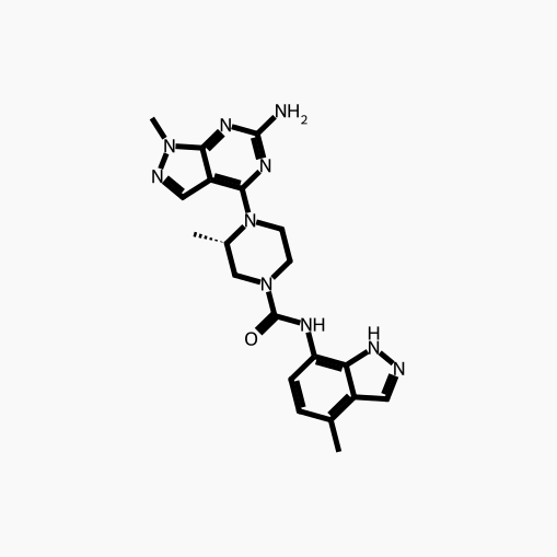 Cc1ccc(NC(=O)N2CCN(c3nc(N)nc4c3cnn4C)[C@@H](C)C2)c2[nH]ncc12